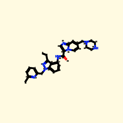 CCc1nn(Cc2cccc(C)n2)c2cccc(NC(=O)c3cnc4cc(CN5CCNCC5)ccn34)c12